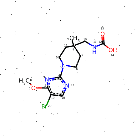 COc1nc(N2CCC(C)(CNC(=O)O)CC2)ncc1Br